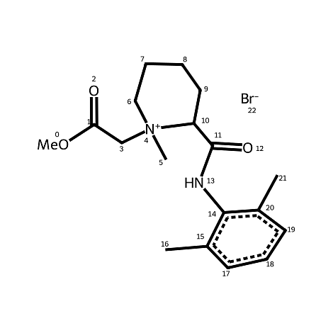 COC(=O)C[N+]1(C)CCCCC1C(=O)Nc1c(C)cccc1C.[Br-]